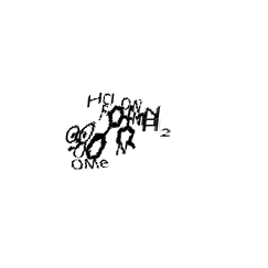 COc1cc(OS(C)(=O)=O)cc(-c2cc(C3(c4ccnc(C)c4)NC(N)N(C)C3=O)ccc2F)c1.Cl